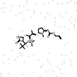 C=CCOC(=O)/N=C1/CC[C@@H](/C=C(\C)C(=O)C[C@H]2NC(=O)[C@@H]2[C@@](C)(O[SiH](C)C)C(C)(C)C)N1C